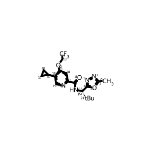 Cc1nnc([C@@H](NC(=O)c2cc(OCC(F)(F)F)c(C3CC3)cn2)C(C)(C)C)o1